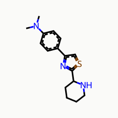 CN(C)c1ccc(-c2csc(C3CCCCN3)n2)cc1